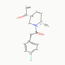 COC(=O)[C@@H]1CC[C@H](C)N(C(=O)Cc2ccc(F)cc2)C1